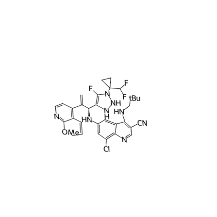 C=C(c1ccnc(OC)c1/C=C\C)[C@H](Nc1cc(Cl)c2ncc(C#N)c(NCC(C)(C)C)c2c1)C1=C(F)N(C2(C(F)F)CC2)NN1